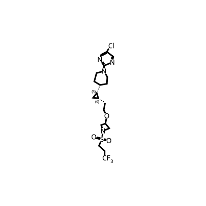 O=S(=O)(CCC(F)(F)F)N1CC(OCC[C@@H]2C[C@@H]2C2CCN(c3ncc(Cl)cn3)CC2)C1